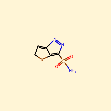 NS(=O)(=O)C1=C2SCC=C2N=N1